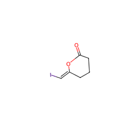 O=C1CCC/C(=C/I)O1